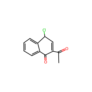 CC(=O)C1=CC(Cl)c2ccccc2C1=O